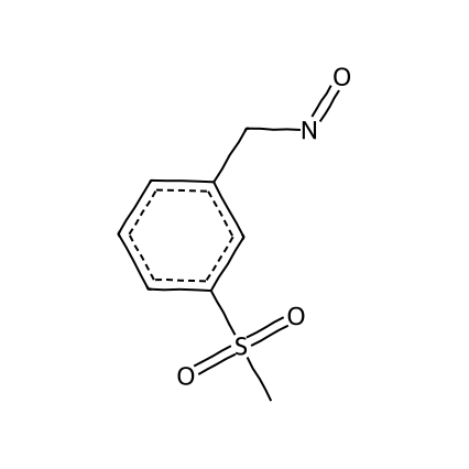 CS(=O)(=O)c1cccc(CN=O)c1